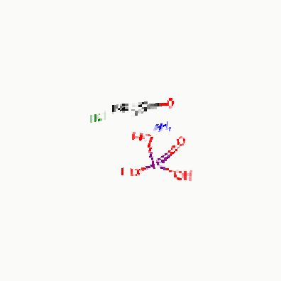 Cl.N.O=P(O)(O)O.O=S(=O)([O-])O.[Na+]